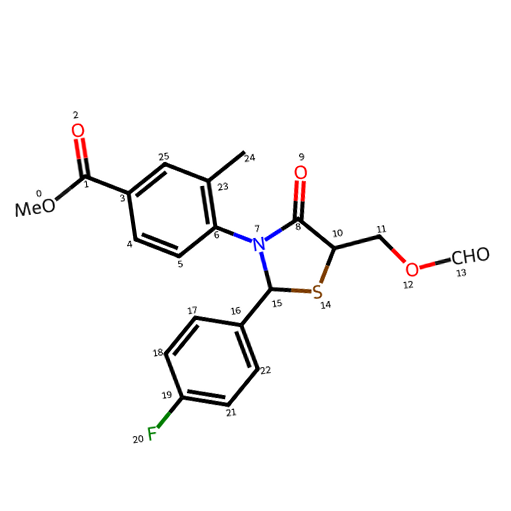 COC(=O)c1ccc(N2C(=O)C(COC=O)SC2c2ccc(F)cc2)c(C)c1